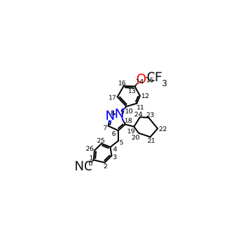 N#Cc1ccc(Cc2cnn(-c3ccc(OC(F)(F)F)cc3)c2C2CCCCC2)cc1